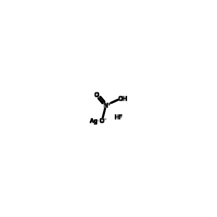 F.O=[N+]([O-])O.[Ag]